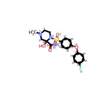 CN1CCN(S(=O)(=O)c2ccc(Oc3ccc(F)cc3)cc2)C(O)(C(N)=O)C1